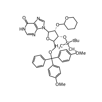 COc1ccc(C(OCC2OC(n3cnc4c(=O)[nH]cnc43)[C@H](OC3CCCCO3)[C@@H]2O[Si](C)(C)C(C)(C)C)(c2ccccc2)c2ccc(OC)cc2)cc1